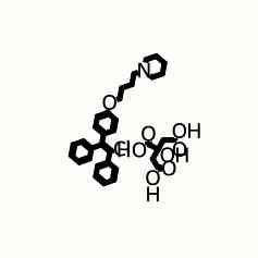 Cl/C(=C(/c1ccccc1)c1ccc(OCCCCN2CCCCC2)cc1)c1ccccc1.O=C(O)CC(O)(CC(=O)O)C(=O)O